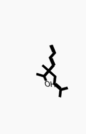 C=CC=CC(C)(CC=C(C)C)C(C)O